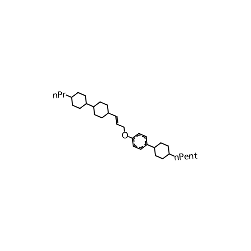 CCCCCC1CCC(c2ccc(OC/C=C/C3CCC(C4CCC(CCC)CC4)CC3)cc2)CC1